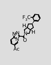 CC(=O)c1ccc2nnc(C(=O)N3C[C@H]4C[C@@H](c5ccccc5C(F)(F)F)C[C@H]4C3)n2c1